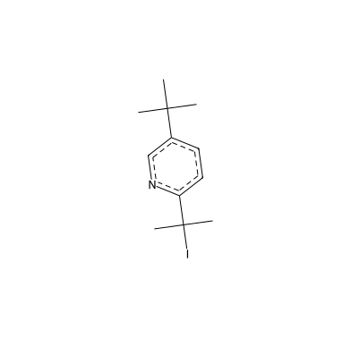 CC(C)(C)c1ccc(C(C)(C)I)nc1